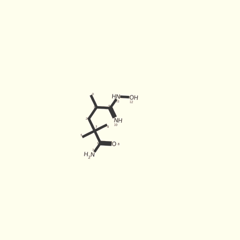 C[C](CC(C)(C)C(N)=O)C(=N)NO